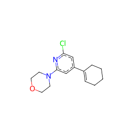 Clc1cc(C2=CCCCC2)cc(N2CCOCC2)n1